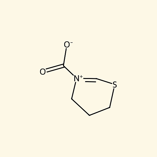 O=C([O-])[N+]1=CSCCC1